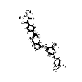 CN(C)C(=O)C(=O)c1ccc(C(=O)Nc2nccc(Sc3ncc(N4CCC(C)(N)CC4)nc3N)c2Cl)cc1